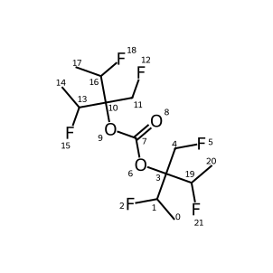 CC(F)C(CF)(OC(=O)OC(CF)(C(C)F)C(C)F)C(C)F